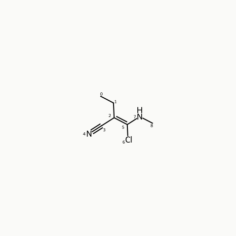 CC/C(C#N)=C(/Cl)NC